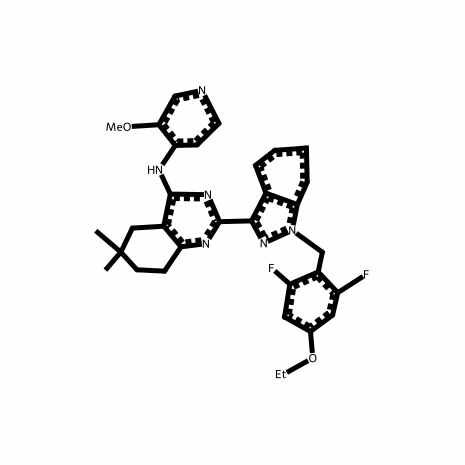 CCOc1cc(F)c(Cn2nc(-c3nc4c(c(Nc5ccncc5OC)n3)CC(C)(C)CC4)c3ccccc32)c(F)c1